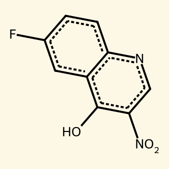 O=[N+]([O-])c1cnc2ccc(F)cc2c1O